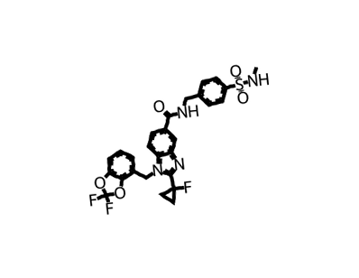 CNS(=O)(=O)c1ccc(CNC(=O)c2ccc3c(c2)nc(C2(F)CC2)n3Cc2cccc3c2OC(F)(F)O3)cc1